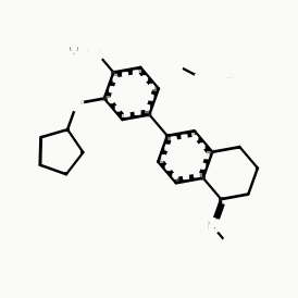 CC(=O)O.COc1ccc(-c2ccc3c(c2)CCCC3=NO)cc1OC1CCCC1